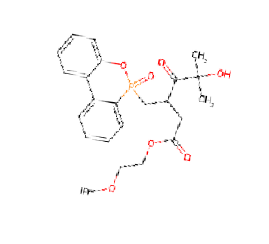 CC(C)OCCOC(=O)CC(CP1(=O)Oc2ccccc2-c2ccccc21)C(=O)C(C)(C)O